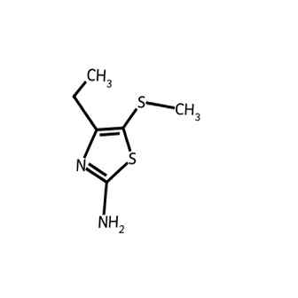 CCc1nc(N)sc1SC